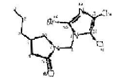 CCCC1CC(=O)N(Cn2c(Br)nc(Cl)c2Cl)C1